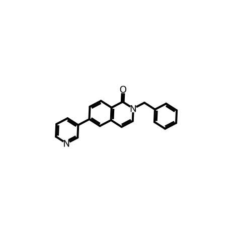 O=c1c2ccc(-c3cccnc3)cc2ccn1Cc1ccccc1